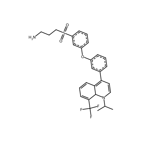 CC(C)N1C=CC(c2cccc(Oc3cccc(S(=O)(=O)CCCN)c3)c2)=C2C=CC=C(C(F)(F)F)C21